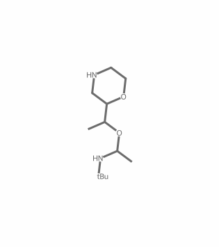 CC(NC(C)(C)C)OC(C)C1CNCCO1